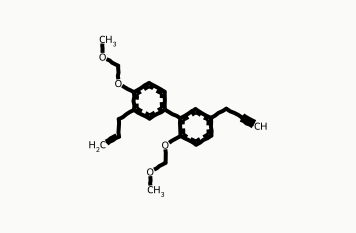 C#CCc1ccc(OCOC)c(-c2ccc(OCOC)c(CC=C)c2)c1